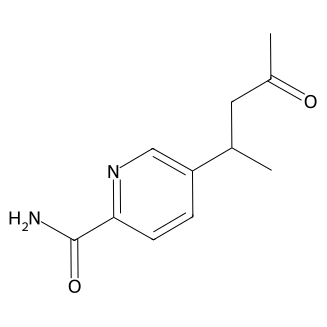 CC(=O)CC(C)c1ccc(C(N)=O)nc1